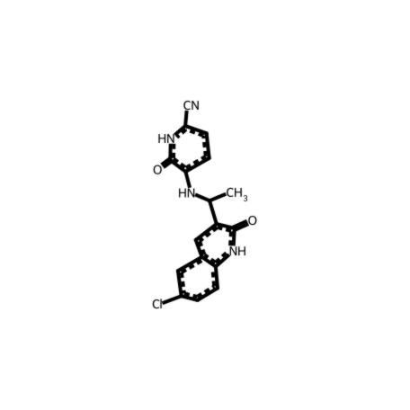 CC(Nc1ccc(C#N)[nH]c1=O)c1cc2cc(Cl)ccc2[nH]c1=O